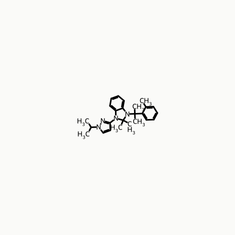 Cc1ccccc1C(C)(C)N1c2ccccc2N(c2ccn(C(C)C)n2)C1(C)C